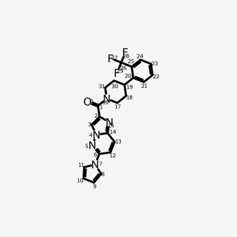 O=C(c1cn2nc(-n3cccc3)ccc2n1)N1CCC(c2ccccc2C(F)(F)F)CC1